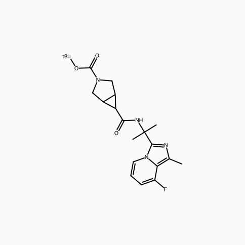 Cc1nc(C(C)(C)NC(=O)C2C3CN(C(=O)OC(C)(C)C)CC32)n2cccc(F)c12